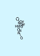 COCCCN(C)c1ccc(NC(=O)c2nc(-c3ccccc3)oc2C(F)(F)F)cn1